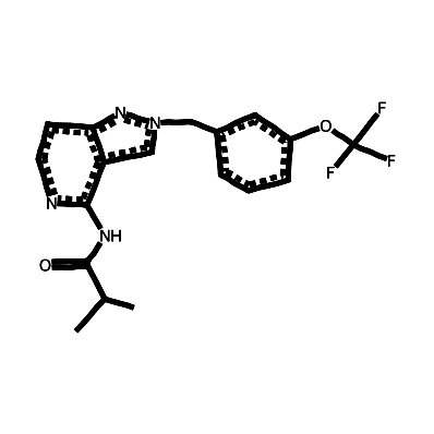 CC(C)C(=O)Nc1nccc2nn(Cc3cccc(OC(F)(F)F)c3)cc12